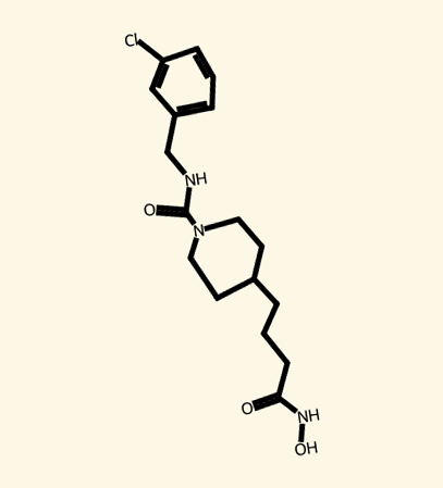 O=C(CCCC1CCN(C(=O)NCc2cccc(Cl)c2)CC1)NO